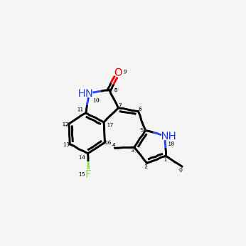 Cc1cc(C)c(C=C2C(=O)Nc3ccc(F)cc32)[nH]1